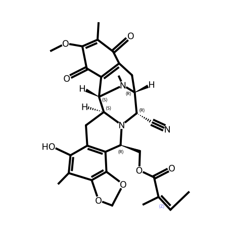 C/C=C(/C)C(=O)OC[C@H]1c2c(c(O)c(C)c3c2OCO3)C[C@H]2[C@@H]3C4=C(C[C@H]([C@H](C#N)N12)N3C)C(=O)C(C)=C(OC)C4=O